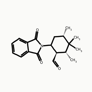 C[C@@H]1[C@@H](C=O)C(N2C(=O)c3ccccc3C2=O)C[C@H](C)C1(C)C